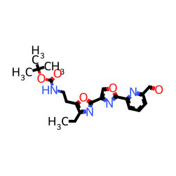 CCc1nc(-c2coc(-c3cccc(C=O)n3)n2)oc1CCNC(=O)OC(C)(C)C